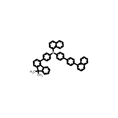 CC1(C)c2ccccc2-c2c(-c3ccc(N(c4ccc(-c5ccc(-c6cccc7ccccc67)cc5)cc4)c4cccc5ccccc45)cc3)cccc21